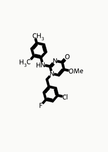 COc1cn(Cc2cc(F)cc(Cl)c2)c(Nc2ccc(C)cc2C)nc1=O